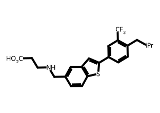 CC(C)Cc1ccc(-c2cc3cc(CNCCC(=O)O)ccc3s2)cc1C(F)(F)F